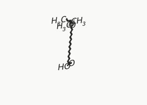 CCCC[Si](C)(C)OCCCCCCCCCCCCCCCC(=O)O